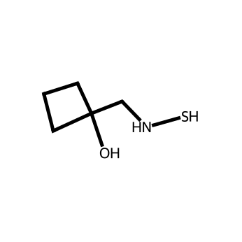 OC1(CNS)CCC1